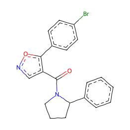 O=C(c1cnoc1-c1ccc(Br)cc1)N1CCCC1c1ccccc1